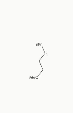 CCC[CH]CCOC